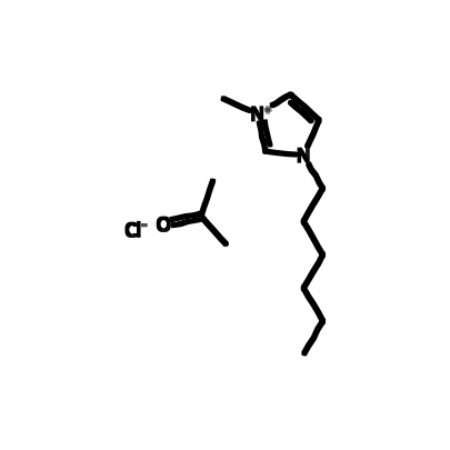 CC(C)=O.CCCCCCn1cc[n+](C)c1.[Cl-]